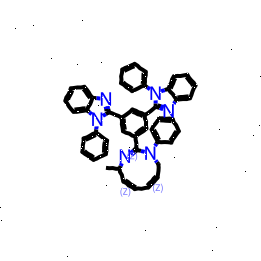 CC1/C=C\C=C/CN(c2ccccc2)/C(c2cc(-c3nc4ccccc4n3-c3ccccc3)cc(-c3nc4ccccc4n3-c3ccccc3)c2)=N\1